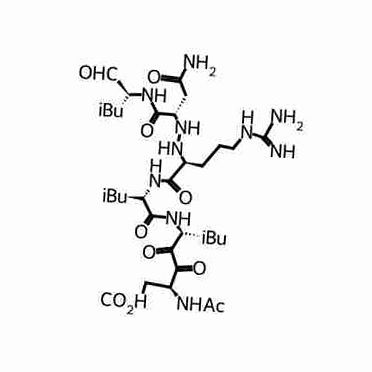 CC[C@H](C)[C@H](NC(=O)[C@H](CCCNC(=N)N)NN[C@@H](CC(N)=O)C(=O)N[C@H](C=O)[C@@H](C)CC)C(=O)N[C@H](C(=O)C(=O)[C@H](CC(=O)O)NC(C)=O)[C@@H](C)CC